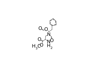 COC(=O)C(N)CN(C=O)C(Cc1ccccc1)OC=O